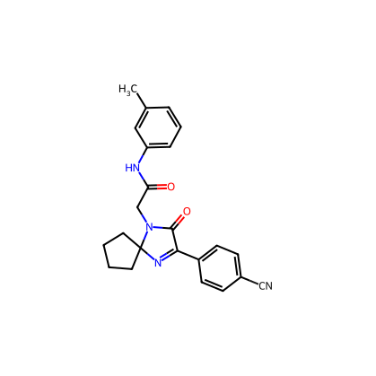 Cc1cccc(NC(=O)CN2C(=O)C(c3ccc(C#N)cc3)=NC23CCCC3)c1